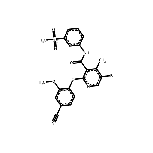 COc1cc(C#N)ccc1Oc1ncc(Br)c(C)c1C(=O)Nc1cccc([S@](C)(=N)=O)c1